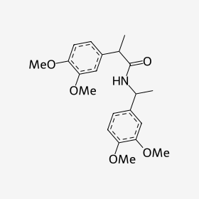 COc1ccc(C(C)NC(=O)C(C)c2ccc(OC)c(OC)c2)cc1OC